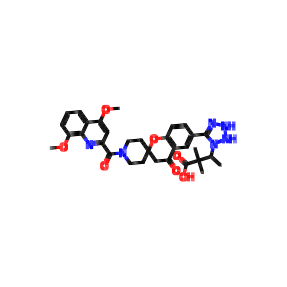 COc1cc(C(=O)N2CCC3(CC2)CC(=O)c2cc(C4=NNNN4C(C)C(C)(C)C(=O)O)ccc2O3)nc2c(OC)cccc12